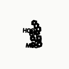 COc1ccccc1[PH](c1ccccc1)(c1ccccc1)c1ccccc1.OB(O)Oc1cccc2ccc3cc4ccccc4cc3c12